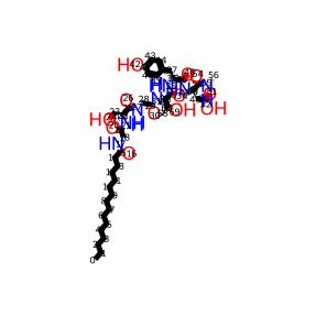 CCCCCCCCCCCCCCCC(=O)NCC(=O)N[C@@H](CO)C(=O)NCC(=O)N[C@H](C(=O)N[C@@H](Cc1ccc(O)cc1)C(=O)N[C@@H](CC(=O)O)C(=O)NC)[C@@H](C)O